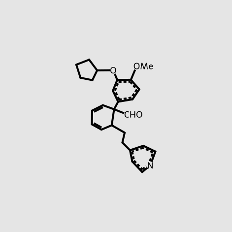 COc1ccc(C2(C=O)C=CC=CC2CCc2ccncc2)cc1OC1CCCC1